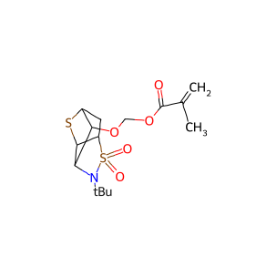 C=C(C)C(=O)OCOC1C2CC3C(S2)C1N(C(C)(C)C)S3(=O)=O